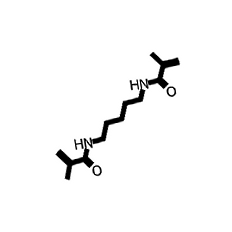 C=C(C)C(=O)NCCCCCNC(=O)C(=C)C